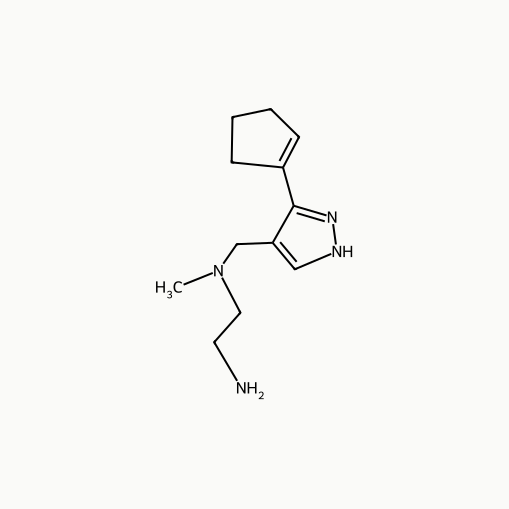 CN(CCN)Cc1c[nH]nc1C1=CCCC1